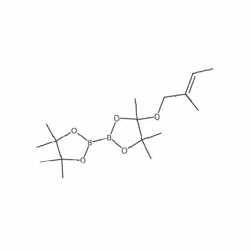 C/C=C(\C)COC1(C)OB(B2OC(C)(C)C(C)(C)O2)OC1(C)C